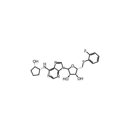 O[C@@H]1[C@@H](CSc2ccccc2F)OC(n2cnc3c(N[C@@H]4CCC[C@@H]4O)ncnc32)[C@@H]1O